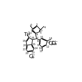 Cc1cc(C)cc(C(c2cc(C)cc(C)c2)C2[C]([Ti+3])=Cc3ccccc32)c1.[Cl-].[Cl-].[Cl-]